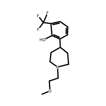 COCCN1CCC(c2cccc(C(F)(F)F)c2O)CC1